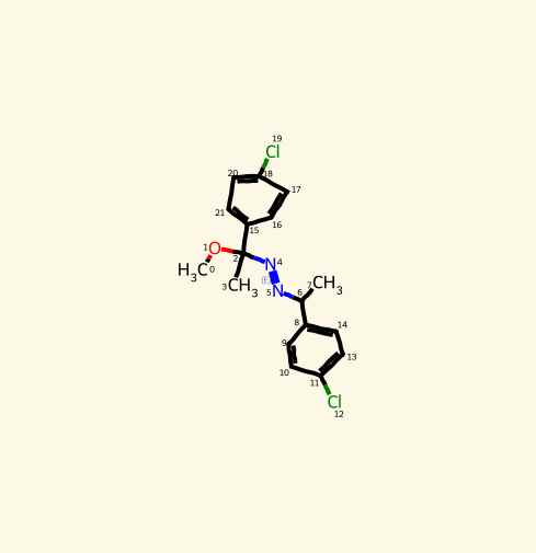 COC(C)(/N=N/C(C)c1ccc(Cl)cc1)c1ccc(Cl)cc1